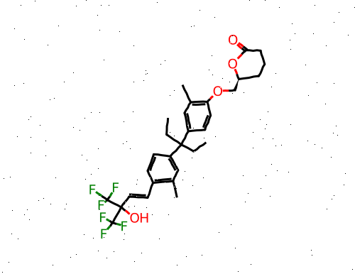 CCC(CC)(c1ccc(/C=C/C(O)(C(F)(F)F)C(F)(F)F)c(C)c1)c1ccc(OC[C@@H]2CCCC(=O)O2)c(C)c1